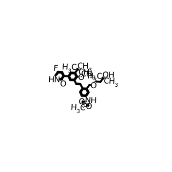 COc1c(/C=C/c2ccc(NS(C)(=O)=O)cc2COCCC(C)(C)O)cc(-c2cc(F)c[nH]c2=O)cc1C(C)(C)C